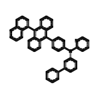 c1ccc(-c2cccc(N(c3ccc(-c4c5ccccc5c(-c5cccc6ccccc56)c5ccccc45)cc3)c3ccccn3)c2)cc1